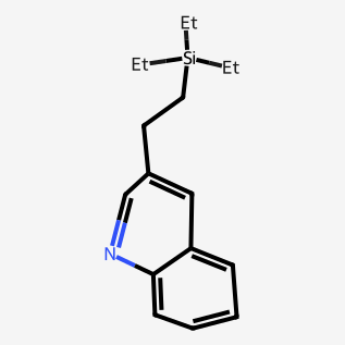 CC[Si](CC)(CC)CCc1cnc2ccccc2c1